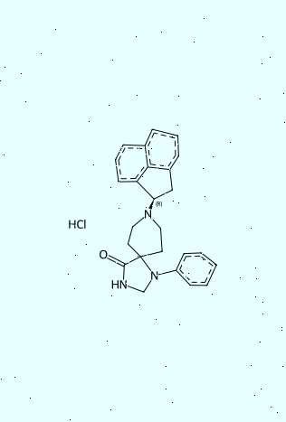 Cl.O=C1NCN(c2ccccc2)C12CCN([C@@H]1Cc3cccc4cccc1c34)CC2